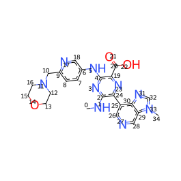 CNc1nc(Nc2ccc(CN3CCOCC3)nc2)c(C(=O)O)nc1-c1cncc2c1ncn2C